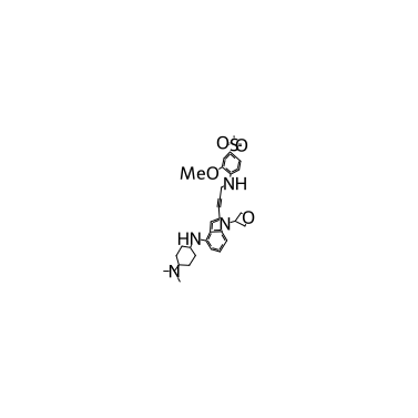 COc1cc(S(C)(=O)=O)ccc1NCC#Cc1cc2c(NC3CCC(N(C)C)CC3)cccc2n1C1COC1